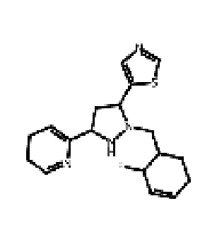 FC1C=CCCC1CN1NC(C2=CCCC=N2)CC1c1cncs1